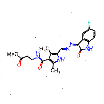 COC(=O)CCNC(=O)c1c(C)[nH]c(/C=N/N=C2\C(=O)Nc3ccc(F)cc32)c1C